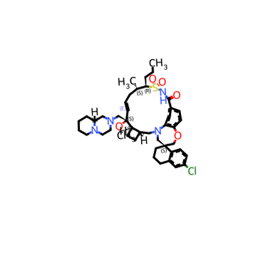 CCC[C@@H]1[C@@H](C)C/C=C/[C@@](CN2CCN3CCCC[C@@H]3C2)(OC)[C@@H]2CC[C@H]2CN2C[C@@]3(CCCc4cc(Cl)ccc43)COc3ccc(cc32)C(=O)NS1(=O)=O